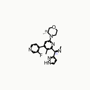 C/N=C(/c1cc[nH]n1)c1nc(N2CCOC[C@H]2C)cc(-c2ccncc2F)c1C